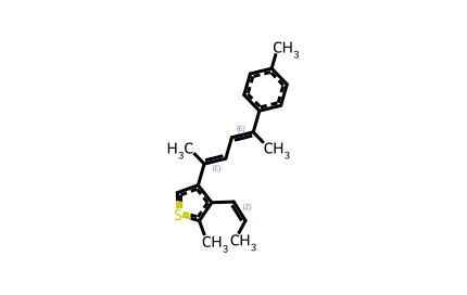 C/C=C\c1c(/C(C)=C/C=C(\C)c2ccc(C)cc2)csc1C